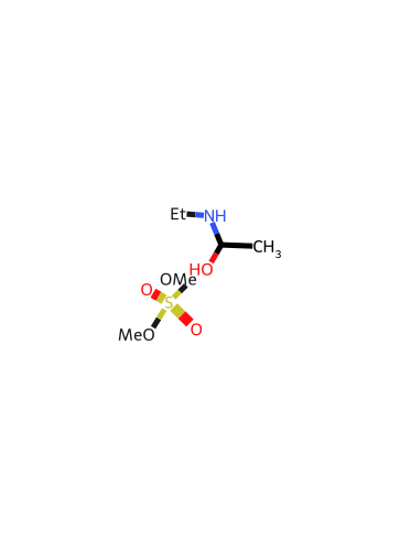 CCNC(C)O.COS(=O)(=O)OC